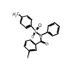 Cc1ccc(S(=O)(=O)N(C(=O)c2cccc(F)c2)c2ccccc2)cc1